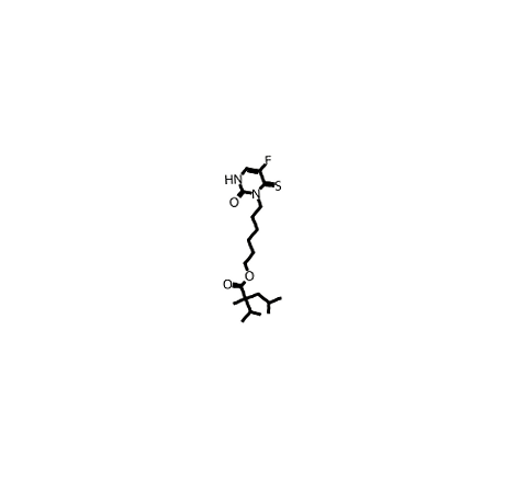 CC(C)CC(C)(C(=O)OCCCCCCn1c(=O)[nH]cc(F)c1=S)C(C)C